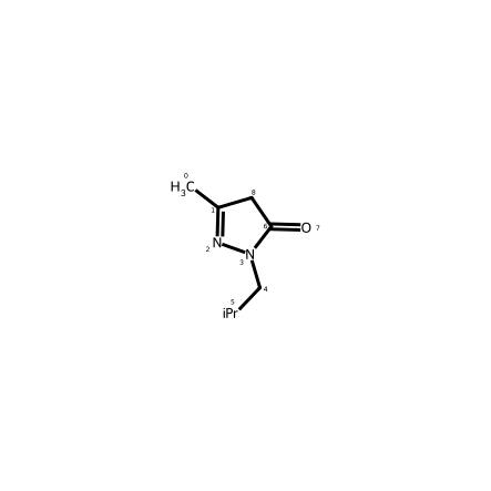 CC1=NN(CC(C)C)C(=O)C1